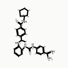 CC(Nc1ccccc1NC(=O)Nc1ccc(C(=N)N)cc1)c1ccc(C(=O)NC2CCCCC2)cc1